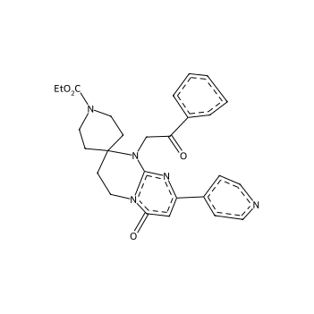 CCOC(=O)N1CCC2(CC1)CCn1c(nc(-c3ccncc3)cc1=O)N2CC(=O)c1ccccc1